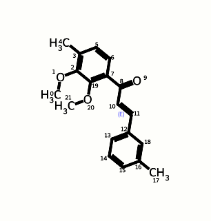 COc1c(C)ccc(C(=O)/C=C/c2cccc(C)c2)c1OC